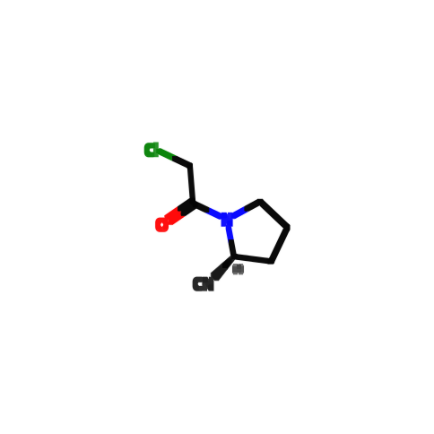 [C-]#[N+][C@@H]1CCCN1C(=O)CCl